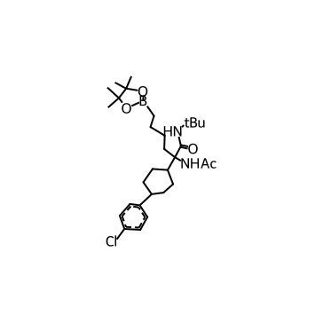 CC(=O)NC(CCCCB1OC(C)(C)C(C)(C)O1)(C(=O)NC(C)(C)C)C1CCC(c2ccc(Cl)cc2)CC1